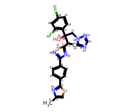 Cc1csc(-c2ccc(-c3nsc(C(C)C(O)(Cn4cncn4)c4ccc(F)cc4F)n3)cc2)n1